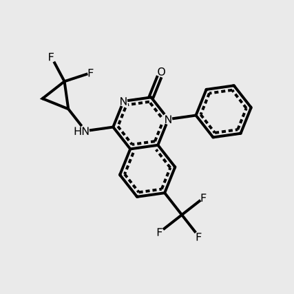 O=c1nc(NC2CC2(F)F)c2ccc(C(F)(F)F)cc2n1-c1ccccc1